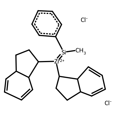 C[Si](c1ccccc1)=[Zr+2]([CH]1CCC2C=CC=CC21)[CH]1CCC2C=CC=CC21.[Cl-].[Cl-]